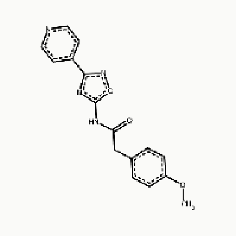 COc1ccc(CC(=O)Nc2nc(-c3ccncc3)no2)cc1